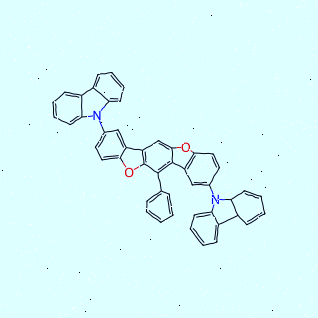 C1=CC2c3ccccc3N(c3ccc4oc5cc6c(oc7ccc(-n8c9ccccc9c9ccccc98)cc76)c(-c6ccccc6)c5c4c3)C2C=C1